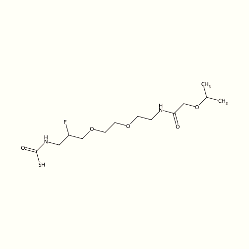 CC(C)OCC(=O)NCCOCCOCC(F)CNC(=O)S